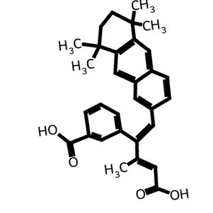 CC(=CC(=O)O)C(=Cc1ccc2cc3c(cc2c1)C(C)(C)CCC3(C)C)c1cccc(C(=O)O)c1